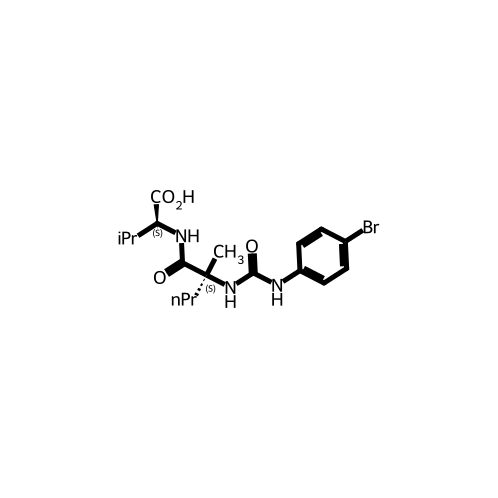 CCC[C@](C)(NC(=O)Nc1ccc(Br)cc1)C(=O)N[C@H](C(=O)O)C(C)C